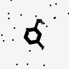 Bc1cc(F)ccn1